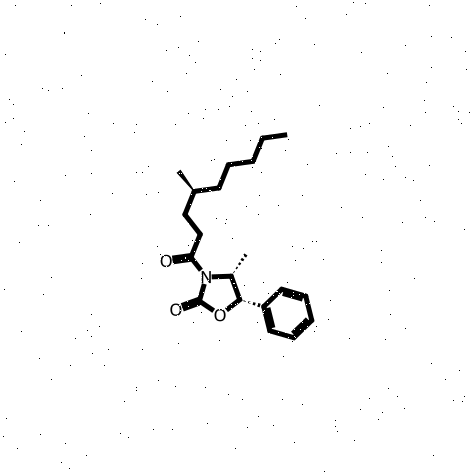 CCCCC[C@H](C)CCC(=O)N1C(=O)O[C@@H](c2ccccc2)[C@H]1C